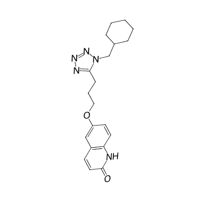 O=c1ccc2cc(OCCCc3nnnn3CC3CCCCC3)ccc2[nH]1